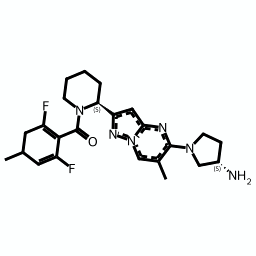 Cc1cn2nc([C@@H]3CCCCN3C(=O)C3=C(F)CC(C)C=C3F)cc2nc1N1CC[C@H](N)C1